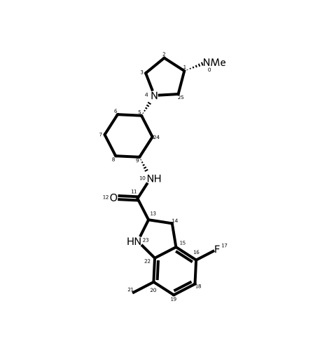 CN[C@H]1CCN([C@H]2CCC[C@@H](NC(=O)C3Cc4c(F)ccc(C)c4N3)C2)C1